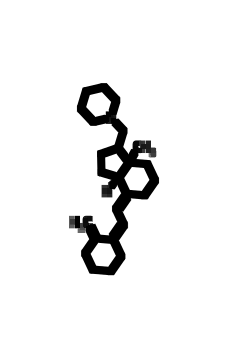 C=C1CCCC/C1=C/C=C1\CCCC2(C)C(CN3CCCCC3)CC[C@@H]12